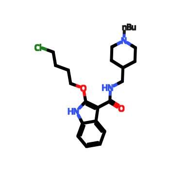 CCCCN1CCC(CNC(=O)c2c(OCCCCCl)[nH]c3ccccc23)CC1